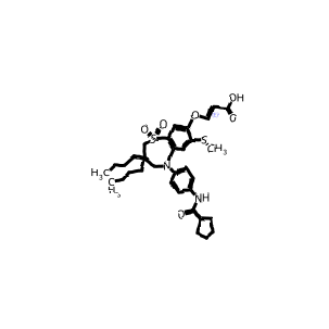 CCCCC1(CCCC)CN(c2ccc(NC(=O)C3CCCC3)cc2)c2cc(SC)c(O/C=C/C(=O)O)cc2S(=O)(=O)C1